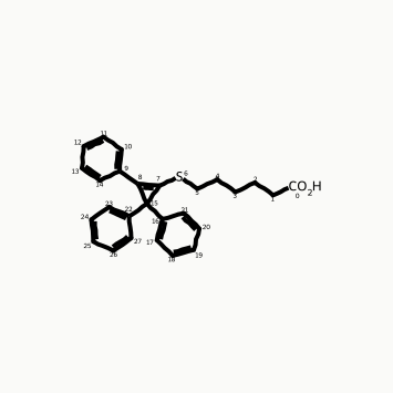 O=C(O)CCCCCSC1=C(c2ccccc2)C1(c1ccccc1)c1ccccc1